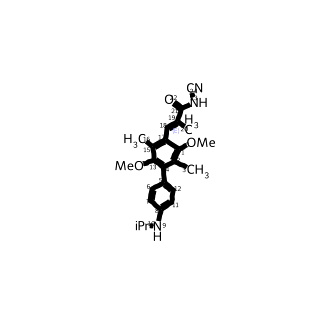 COc1c(C)c(-c2ccc(NC(C)C)cc2)c(OC)c(C)c1/C=C(\C)C(=O)NC#N